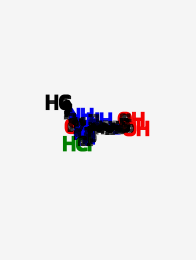 C#CCNC(=O)Cn1nnnc1C(N)CCCCCB(O)O.Cl